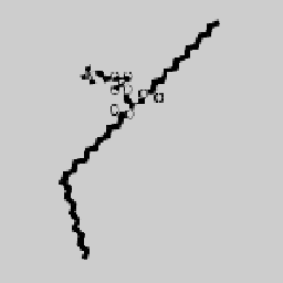 CCCCCCCCCC/C=C\CCCCCCCCCC(=O)O[C@H](COC(=O)CCCCCCCCCCCC)COP(=O)([O-])OCC[N+](C)(C)C